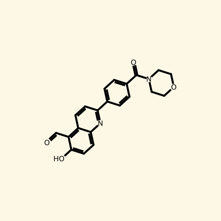 O=Cc1c(O)ccc2nc(-c3ccc(C(=O)N4CCOCC4)cc3)ccc12